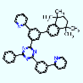 CC1(C)CCC(C)(C)c2cc(-c3cc(-c4ccccn4)cc(-c4nc(-c5ccccc5)nc(-c5cccc(-c6ccccn6)c5)n4)c3)ccc21